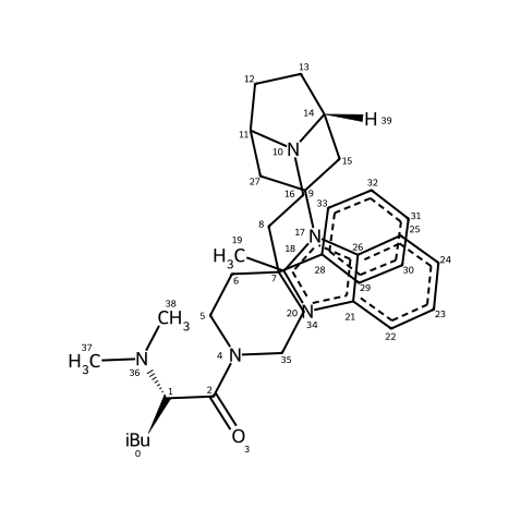 CC[C@H](C)[C@@H](C(=O)N1CCC(CCN2C3CC[C@@H]2CC(n2c(C)nc4ccccc42)C3)(c2ccccc2)CC1)N(C)C